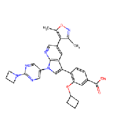 Cc1noc(C)c1-c1cnc2c(c1)c(-c1ccc(C(=O)O)cc1OC1CCC1)cn2-c1cnc(N2CCC2)nc1